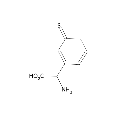 NC(C(=O)O)C1=CC(=S)CC=C1